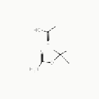 CC(=O)O.CC(C)(C)OC(N)=O